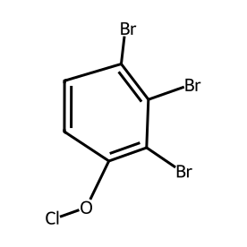 ClOc1ccc(Br)c(Br)c1Br